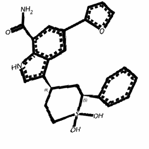 NC(=O)c1cc(-c2ccco2)cc2c([C@@H]3CCS(O)(O)[C@H](c4ccccc4)C3)c[nH]c12